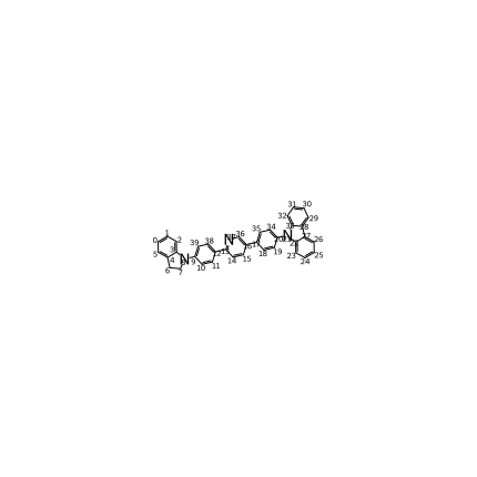 c1ccc2c(c1)CCN2c1ccc(-c2ccc(-c3ccc(-n4c5ccccc5c5ccccc54)cc3)cn2)cc1